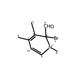 CC1=C(C)C(Br)(C=O)N(C)C=C1